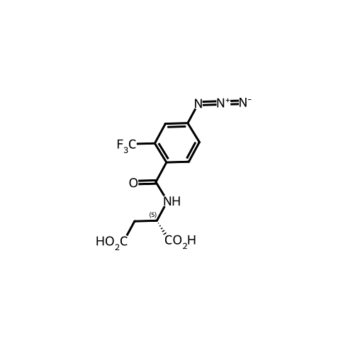 [N-]=[N+]=Nc1ccc(C(=O)N[C@@H](CC(=O)O)C(=O)O)c(C(F)(F)F)c1